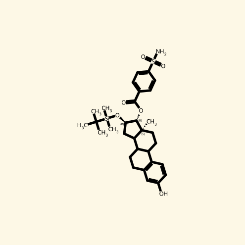 CC(C)(C)[Si](C)(C)O[C@@H]1CC2C3CCc4cc(O)ccc4C3CC[C@]2(C)[C@H]1OC(=O)c1ccc(S(N)(=O)=O)cc1